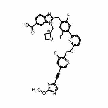 COc1ncc(C#Cc2cnc(COc3cccc(-c4cc(F)c(Cc5nc6ccc(C(=O)O)cc6n5C[C@@H]5CCO5)cc4F)n3)c(F)c2)s1